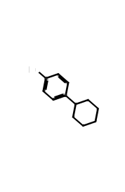 C[CH]c1ccc(C2CCCCC2)cc1